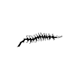 C=CCCC(F)(F)C(F)(F)C(F)(F)C(F)(F)C(F)(F)C(F)(F)C(F)(F)C(F)(F)C(F)(F)C(F)(F)C(F)(F)CCCCCCCCC